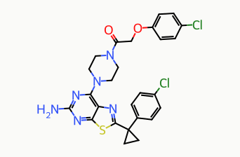 Nc1nc(N2CCN(C(=O)COc3ccc(Cl)cc3)CC2)c2nc(C3(c4ccc(Cl)cc4)CC3)sc2n1